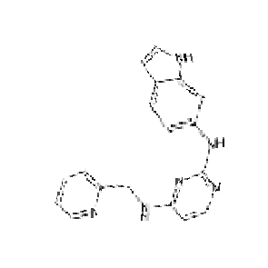 c1ccc(CNc2ccnc(Nc3ccc4cc[nH]c4c3)n2)nc1